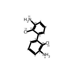 Nc1cccc(-c2cccc(N)c2Cl)c1Cl